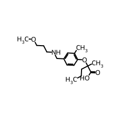 CCCC(C)(Oc1ccc(CNCCCOC)cc1C)C(=O)O